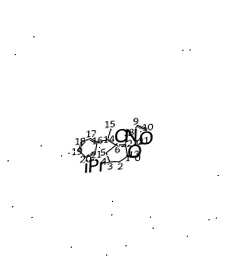 CC1CC(C(C)C)CC(On2ccoc2=O)(C(C)c2ccccc2)C1